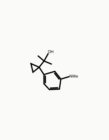 CNc1cccc(C2(C(C)(C)O)CC2)c1